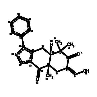 CC1(C)C(=O)/C(=C\O)C[C@]2(C)C(=O)c3cnn(-c4ccccc4)c3C[C@@H]12